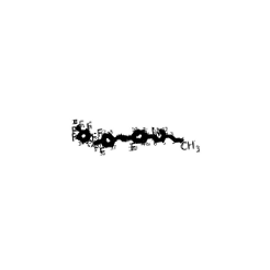 CCCCc1ccc(-c2ccc(C#Cc3cc(F)c(C(F)(F)Oc4cc(F)c(C(F)(F)F)c(F)c4)c(F)c3)c(F)c2)nc1